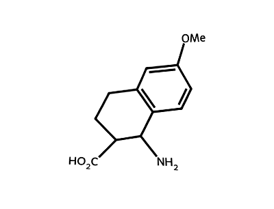 COc1ccc2c(c1)CCC(C(=O)O)C2N